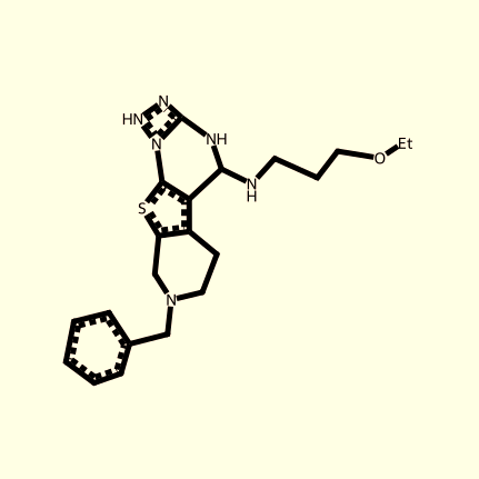 CCOCCCNC1Nc2n[nH]n2-c2sc3c(c21)CCN(Cc1ccccc1)C3